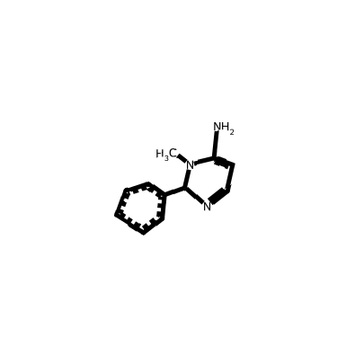 CN1C(N)=CC=NC1c1ccccc1